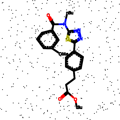 CCCCN(C(=O)c1cccc(OC)c1)c1nnc(-c2ccc(CCC(=O)OC(C)(C)C)cc2)s1